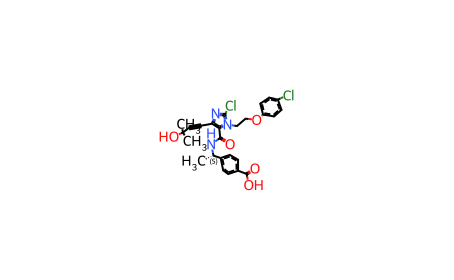 C[C@H](NC(=O)c1c(C#CC(C)(C)O)nc(Cl)n1CCOc1ccc(Cl)cc1)c1ccc(C(=O)O)cc1